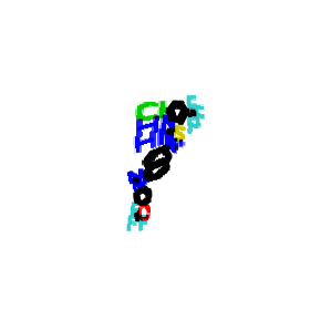 C=[N+](NC(=S)Nc1cc(C(F)(F)F)ccc1Cl)c1ccc2c(ccc3c2ncn3-c2ccc(OC(F)(F)F)cc2)c1